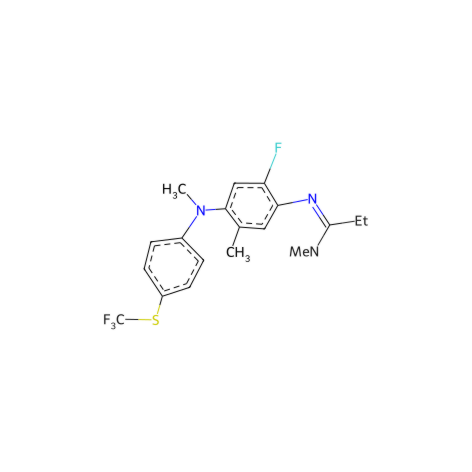 CCC(=Nc1cc(C)c(N(C)c2ccc(SC(F)(F)F)cc2)cc1F)NC